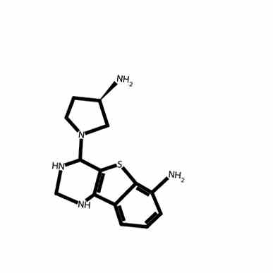 Nc1cccc2c3c(sc12)C(N1CC[C@@H](N)C1)NCN3